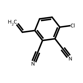 C=Cc1ccc(Cl)c(C#N)c1C#N